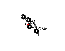 COc1cc(Cl)ccc1C(=O)N1CC(=O)[N+](CC2CCN(c3ccncc3)CC2)(OC(=O)C(F)(F)F)c2ccccc2C1